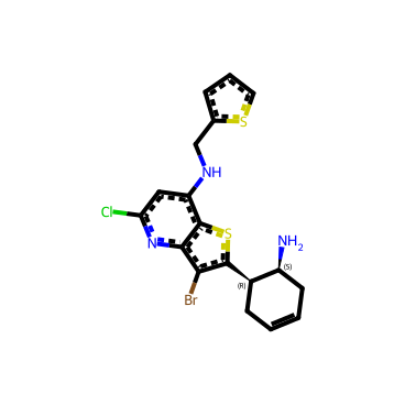 N[C@H]1CC=CC[C@H]1c1sc2c(NCc3cccs3)cc(Cl)nc2c1Br